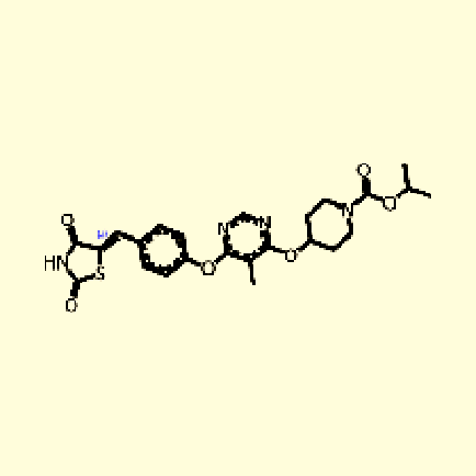 Cc1c(Oc2ccc(/C=C3\SC(=O)NC3=O)cc2)ncnc1OC1CCN(C(=O)OC(C)C)CC1